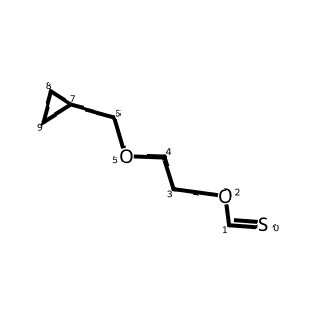 S=COCCOCC1CC1